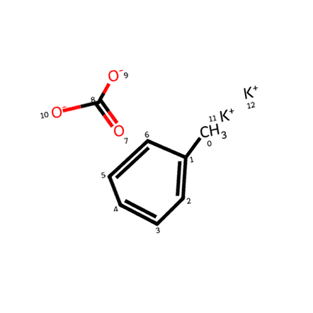 Cc1ccccc1.O=C([O-])[O-].[K+].[K+]